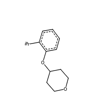 CC(C)c1ccccc1OC1CCOCC1